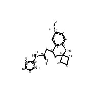 COc1ccc2c(c1)C(CC(=O)Nc1nccs1)CC1(CCC1)O2